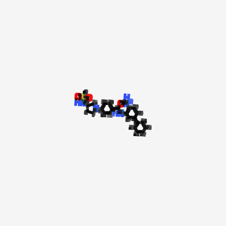 CS(=O)(=O)N[C@H]1CCN(c2ccc(C(=O)Nc3cc(-c4ccccc4)ccc3N)cc2)C1